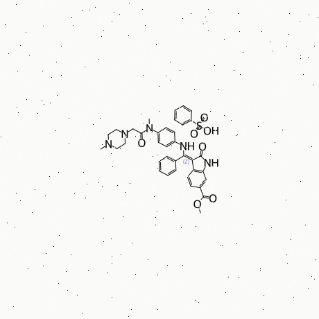 COC(=O)c1ccc2c(c1)NC(=O)/C2=C(\Nc1ccc(N(C)C(=O)CN2CCN(C)CC2)cc1)c1ccccc1.O=S(=O)(O)c1ccccc1